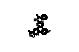 Cc1noc2nc(-c3ccc(F)cc3)c(-c3ccnc(N[C@@H](C)c4ccccc4)n3)cc12